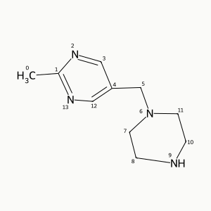 Cc1ncc(CN2CCNCC2)cn1